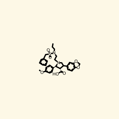 CCCN(CCN1CC(c2ccc3c(c2)OCO3)[C@H](C(=O)O)[C@H]1c1ccc(OC)cc1)S(=O)(=O)Cc1ccccc1